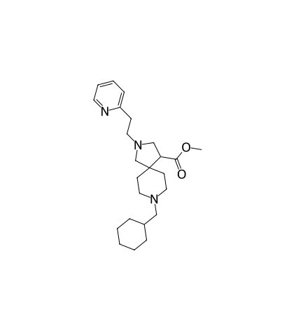 COC(=O)C1CN(CCc2ccccn2)CC12CCN(CC1CCCCC1)CC2